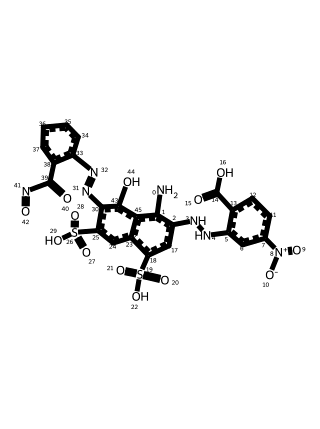 Nc1c(NNc2cc([N+](=O)[O-])ccc2C(=O)O)cc(S(=O)(=O)O)c2cc(S(=O)(=O)O)c(N=Nc3ccccc3C(=O)N=O)c(O)c12